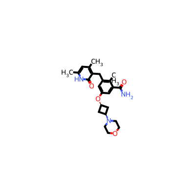 Cc1cc(C)c(Cc2cc(O[C@H]3C[C@H](N4CCOCC4)C3)cc(C(N)=O)c2C)c(=O)[nH]1